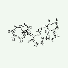 Clc1c(-n2cnc3ccccc32)cccc1-n1cnc2ccccc21